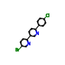 Clc1ccc(-c2ccc(-c3ccc(Br)cn3)cn2)cc1